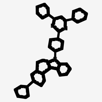 c1ccc(-c2ccc3c(ccc4c3c3ccccc3n4-c3ccc(-c4nc(-c5ccccc5)cc(-c5ccccc5)n4)cc3)c2)cc1